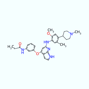 C=CC(=O)Nc1cccc(Oc2cc(Nc3cc(C)c(C4CCN(C)CC4)cc3OC)nc3[nH]ccc23)c1